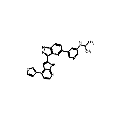 CC(C)Nc1cncc(-c2ccc3[nH]nc(-c4cc5c(-c6ccoc6)ccnc5[nH]4)c3n2)c1